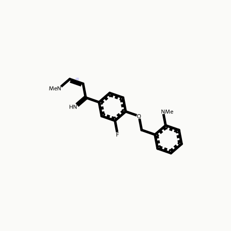 CN/C=C\C(=N)c1ccc(OCc2ccccc2NC)c(F)c1